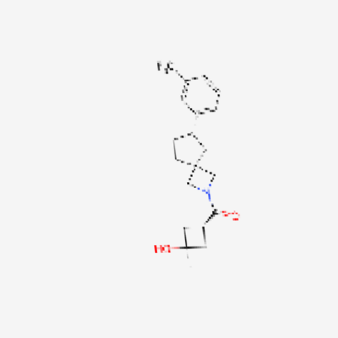 C[C@]1(O)C[C@@H](C(=O)N2CC3(CC[C@H](c4cccc(C(F)(F)F)c4)C3)C2)C1